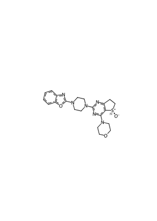 [O-][S@+]1CCc2nc(N3CCN(c4nc5ccccc5o4)CC3)nc(N3CCOCC3)c21